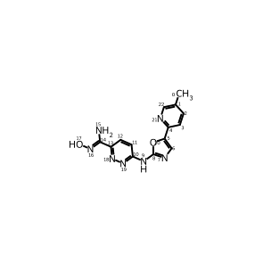 Cc1ccc(-c2cnc(Nc3ccc(/C(N)=N/O)nn3)o2)nc1